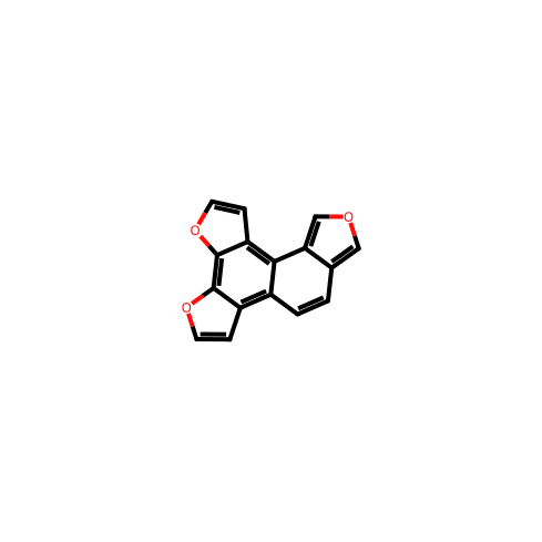 c1cc2c3ccc4cocc4c3c3ccoc3c2o1